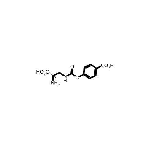 N[C@@H](CNC(=O)Oc1ccc(C(=O)O)cc1)C(=O)O